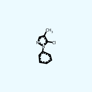 Cc1cnn(-c2ccccc2)c1Cl